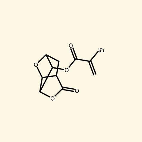 C=C(C(=O)OC1C2CC3C(=O)OC1C3O2)C(C)C